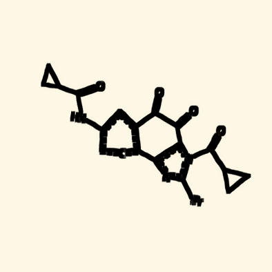 CC(C)c1nc2c(n1C(=O)C1CC1)C(=O)C(=O)c1cc(NC(=O)C3CC3)ccc1-2